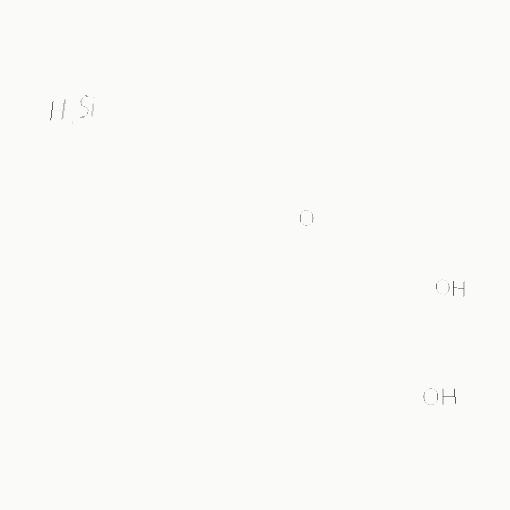 OCC(O)COc1ccc([SiH3])cc1